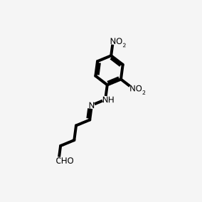 O=CCCCC=NNc1ccc([N+](=O)[O-])cc1[N+](=O)[O-]